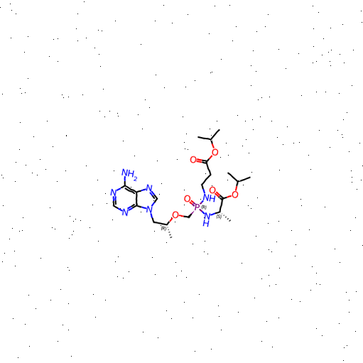 CC(C)OC(=O)CCN[P@](=O)(CO[C@H](C)Cn1cnc2c(N)ncnc21)N[C@@H](C)C(=O)OC(C)C